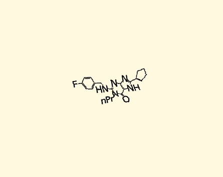 CCCn1c(NCc2ccc(F)cc2)nc2nc(C3CCCC3)[nH]c2c1=O